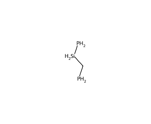 PC[SiH2]P